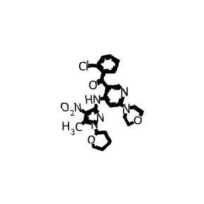 Cc1c([N+](=O)[O-])c(Nc2cc(N3CCOCC3)ncc2C(=O)c2ccccc2Cl)nn1C1CCCCO1